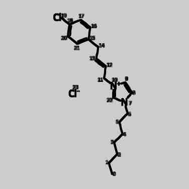 CCCCCCCn1cc[n+](C/C=C/Cc2ccc(Cl)cc2)c1.[Cl-]